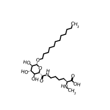 CCCCCCCCCCCCO[C@@H]1O[C@H](C(=O)NCCCC[C@H](NC)C(=O)O)[C@@H](O)[C@H](O)[C@H]1O